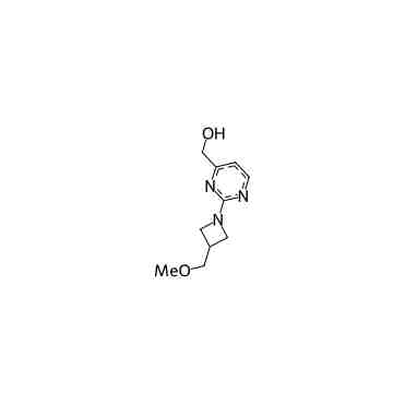 COCC1CN(c2nccc(CO)n2)C1